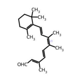 CC(C=C/C(C)=C(/C)C=CC1=C(C)CCCC1(C)C)=CC=O